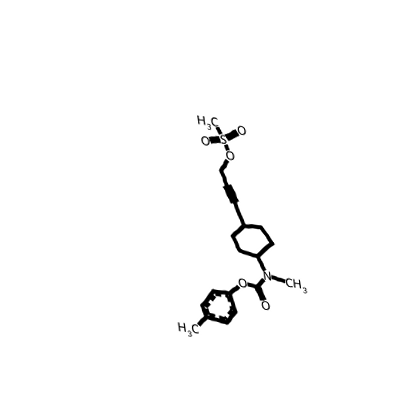 Cc1ccc(OC(=O)N(C)C2CCC(C#CCOS(C)(=O)=O)CC2)cc1